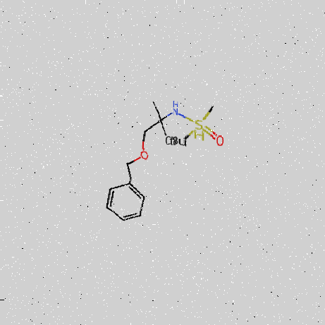 CC(C#N)(COCc1ccccc1)N[SH](C)(=O)C(C)(C)C